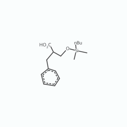 CCCC[Si](C)(C)OCC(Cc1ccccc1)C(=O)O